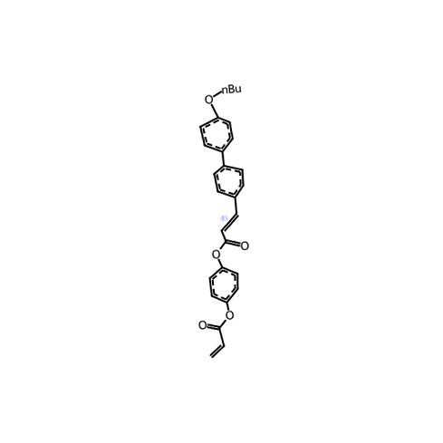 C=CC(=O)Oc1ccc(OC(=O)/C=C/c2ccc(-c3ccc(OCCCC)cc3)cc2)cc1